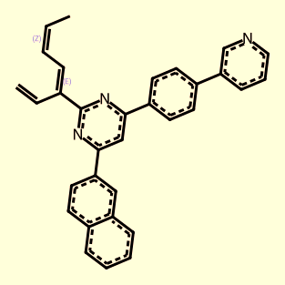 C=C/C(=C\C=C/C)c1nc(-c2ccc(-c3cccnc3)cc2)cc(-c2ccc3ccccc3c2)n1